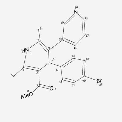 COC(=O)C1=C(C)NC(C)=C(c2cccnc2)C1c1ccc(Br)cc1